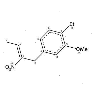 CC=C(Cc1ccc(CC)c(OC)c1)[N+](=O)[O-]